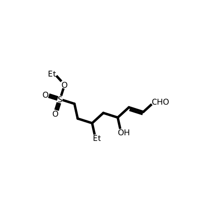 CCOS(=O)(=O)CCC(CC)CC(O)C=CC=O